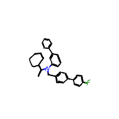 C=C(C1CCCCC1)N(Cc1ccc(-c2ccc(F)cc2)cc1)c1cccc(-c2ccccc2)c1